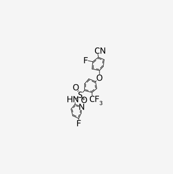 N#Cc1ccc(Oc2ccc(S(=O)(=O)Nc3ccc(F)cn3)c(C(F)(F)F)c2)cc1F